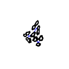 c1ccc(-n2c3ccccc3c3cc(-c4cc(N(c5cccc6ccccc56)c5cccc6ccccc56)cc(N(c5cccc6ccccc56)c5cccc6ccccc56)c4)ccc32)cc1